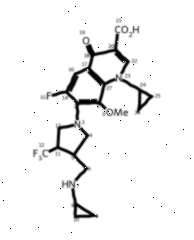 COc1c(N2CC(CNC3CC3)C(C(F)(F)F)C2)c(F)cc2c(=O)c(C(=O)O)cn(C3CC3)c12